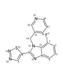 Fc1cccc2nc(-c3cnns3)n(Cc3cccnc3)c12